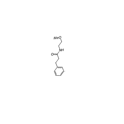 COCCNC(=O)CCc1c[c]ccc1